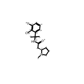 CN1CCC[C@@H]1CC(=O)NC(C)(C)c1cccc(F)c1Cl